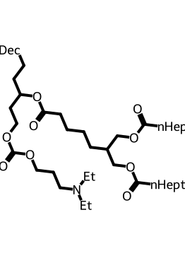 CCCCCCCCCCCCC(CCOC(=O)OCCCN(CC)CC)OC(=O)CCCCC(COC(=O)CCCCCCC)COC(=O)CCCCCCC